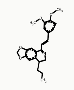 CCCC1CN=C(C=Cc2ccc(OC)c(OC)c2)c2cc3c(cc21)OCO3